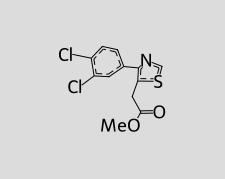 COC(=O)Cc1scnc1-c1ccc(Cl)c(Cl)c1